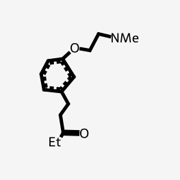 CCC(=O)CCc1cccc(OCCNC)c1